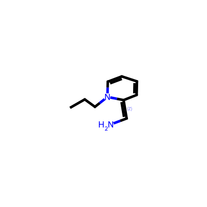 CCCN1C=CC=C/C1=C/N